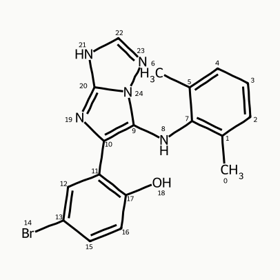 Cc1cccc(C)c1Nc1c(-c2cc(Br)ccc2O)nc2[nH]cnn12